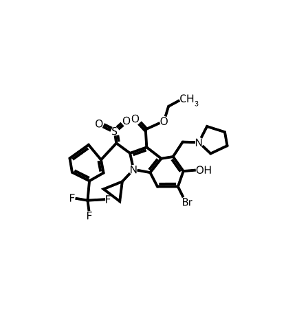 CCOC(=O)c1c(C(c2cccc(C(F)(F)F)c2)=S(=O)=O)n(C2CC2)c2cc(Br)c(O)c(CN3CCCC3)c12